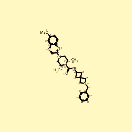 COc1ccc2nc(N3C[C@@H](C)N(C(=O)NC4CC5(C4)CN(Cc4ccccc4)C5)[C@@H](C)C3)cnc2c1